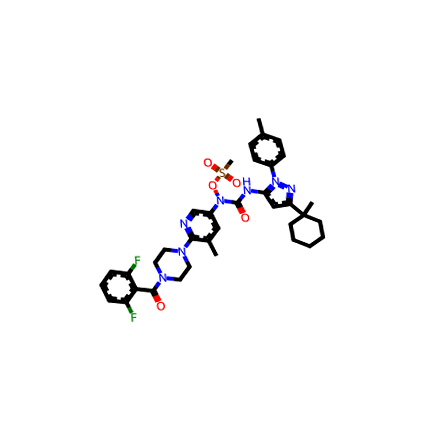 Cc1ccc(-n2nc(C3(C)CCCCC3)cc2NC(=O)N(OS(C)(=O)=O)c2cnc(N3CCN(C(=O)c4c(F)cccc4F)CC3)c(C)c2)cc1